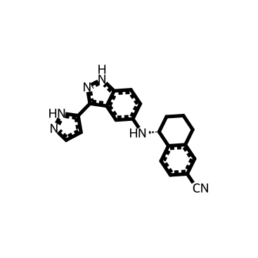 N#Cc1ccc2c(c1)CCC[C@H]2Nc1ccc2[nH]nc(-c3ccn[nH]3)c2c1